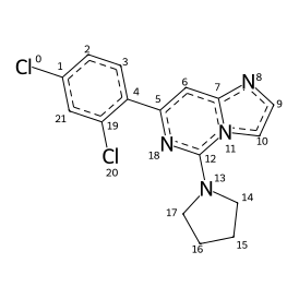 Clc1ccc(-c2cc3nccn3c(N3CCCC3)n2)c(Cl)c1